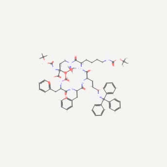 COC(=O)C1(NC(=O)OC(C)(C)C)CCN(C(=O)C(CCCCNC(=O)OC(C)(C)C)NC(=O)C(CCC(=O)NC(c2ccccc2)(c2ccccc2)c2ccccc2)NC(=O)C(Cc2ccccc2)NC(=O)C(Cc2ccccc2)NC(=O)OC(C)(C)C)CC1